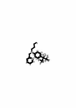 CCCCN(Cc1ccccn1)c1ccc(C(O)(C(F)(F)F)C(F)(F)F)cc1